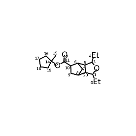 CCC1OC(CC)C2C3CC(CC3C(=O)OC3(C)CCCC3)C12